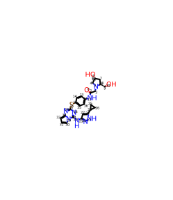 O=C(CN1C[C@H](O)C[C@H]1CO)Nc1ccc(Sc2nc(Nc3cc(C4CC4)[nH]n3)n3cccc3n2)cc1